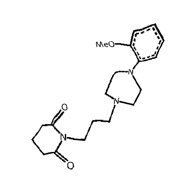 COc1ccccc1N1CCN(CCCN2C(=O)CCCC2=O)CC1